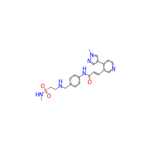 CNS(=O)(=O)CCNCc1ccc(NC(=O)C=Cc2cnccc2-c2cnn(C)c2)cc1